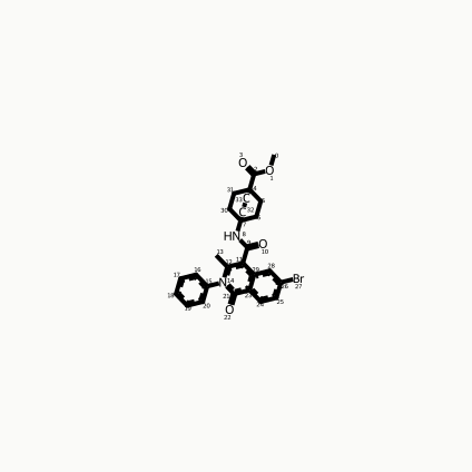 COC(=O)C12CCC(NC(=O)c3c(C)n(-c4ccccc4)c(=O)c4ccc(Br)cc34)(CC1)CC2